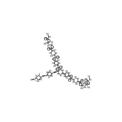 C#Cc1ccc(C#Cc2ccc(C#CC3(OC(=O)c4ccc(OC(=O)C5CCC(C(=O)OC(C)CC(C)OC(=O)C=C)CC5)cc4)CCC(c4ccc(OC(=O)C5CCC(C(=O)OC(C)(C)CC(C)(C)OC(=O)C=C)CC5)cc4)CC3)cc2)cc1